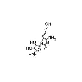 Nc1nc(=O)n([C@@H]2O[C@H](CO)C(O)C2O)cc1C=CCCO